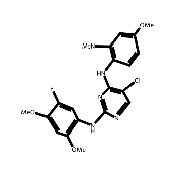 CNc1cc(OC)ccc1Nc1nc(Nc2cc(F)c(OC)cc2OC)ncc1Cl